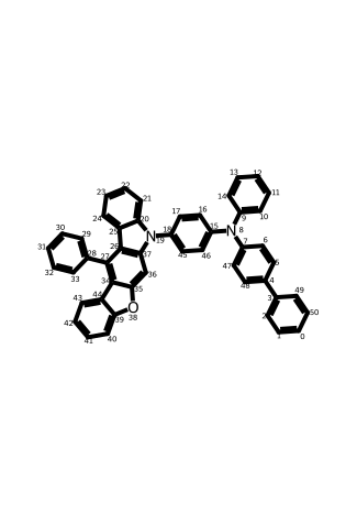 c1ccc(-c2ccc(N(c3ccccc3)c3ccc(-n4c5ccccc5c5c(-c6ccccc6)c6c(cc54)oc4ccccc46)cc3)cc2)cc1